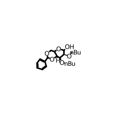 CCCCOC1[C@H](OCCCC)C(O)OC2COC(c3ccccc3)O[C@H]21